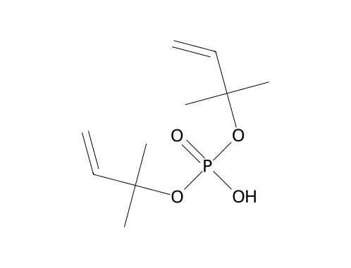 C=CC(C)(C)OP(=O)(O)OC(C)(C)C=C